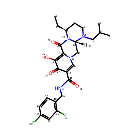 CC[C@H]1CCN(CC(C)C)[C@@H]2Cn3cc(C(=O)NCc4ccc(F)cc4F)c(=O)c(O)c3C(=O)N12